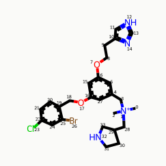 C[N+](C)(Cc1cc(OCCc2c[nH]cn2)cc(OCc2ccc(Cl)cc2Br)c1)CC1CCNC1